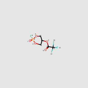 O=C(OC1COP(=O)(F)OC1)C(F)(F)F